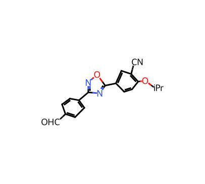 CC(C)Oc1ccc(-c2nc(-c3ccc(C=O)cc3)no2)cc1C#N